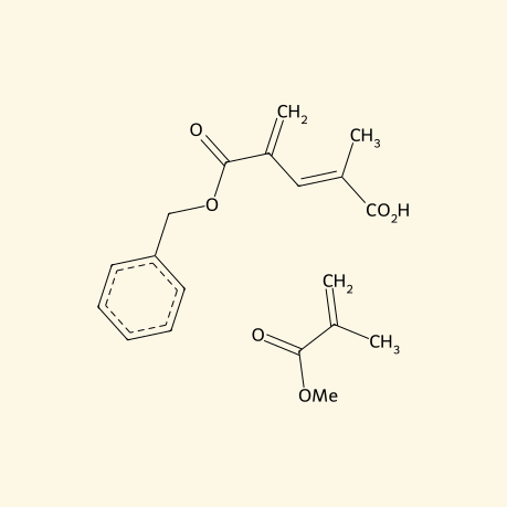 C=C(C)C(=O)OC.C=C(C=C(C)C(=O)O)C(=O)OCc1ccccc1